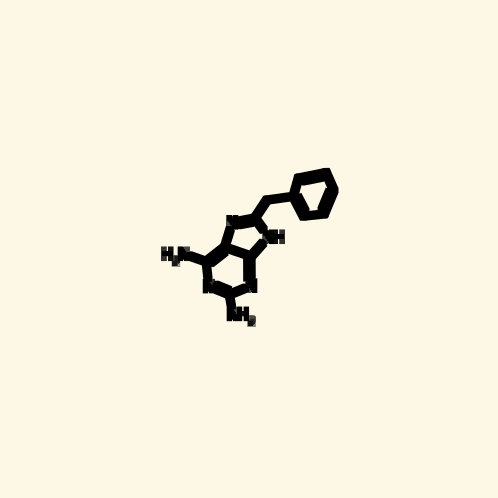 Nc1nc(N)c2nc(Cc3ccccc3)[nH]c2n1